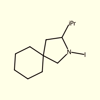 CC(C)C1CC2(CCCCC2)CN1I